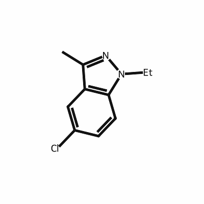 CCn1nc(C)c2cc(Cl)ccc21